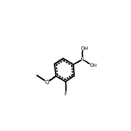 COc1ccc(N(O)O)cc1F